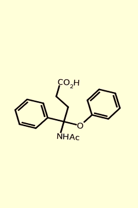 CC(=O)NC(CCC(=O)O)(Oc1ccccc1)c1ccccc1